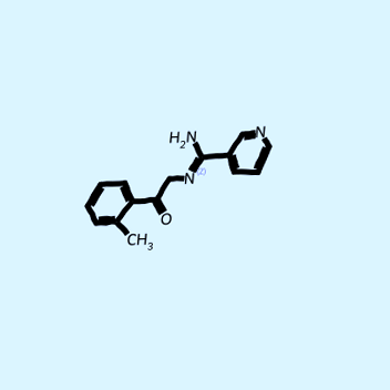 Cc1ccccc1C(=O)C/N=C(\N)c1cccnc1